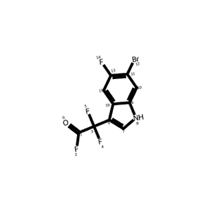 O=C(F)C(F)(F)c1c[nH]c2cc(Br)c(F)cc12